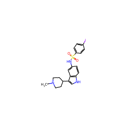 CN1CCC(c2c[nH]c3ccc(NS(=O)(=O)c4ccc(I)cc4)cc23)CC1